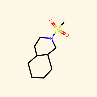 CS(=O)(=O)N1CCC2CCCCC2C1